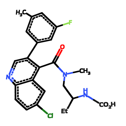 CCC(CN(C)C(=O)c1c(-c2cc(C)cc(F)c2)cnc2ccc(Cl)cc12)NC(=O)O